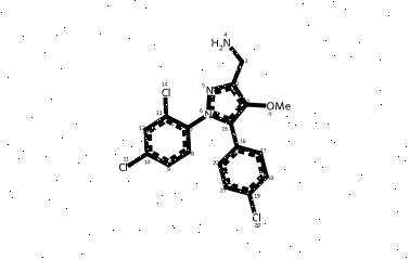 COc1c(CN)nn(-c2ccc(Cl)cc2Cl)c1-c1ccc(Cl)cc1